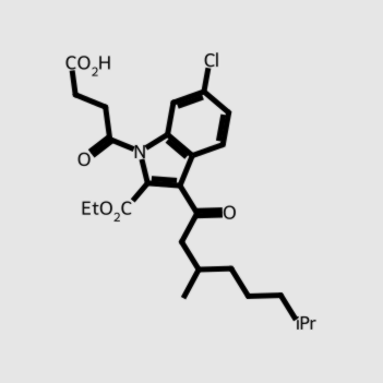 CCOC(=O)c1c(C(=O)CC(C)CCCC(C)C)c2ccc(Cl)cc2n1C(=O)CCC(=O)O